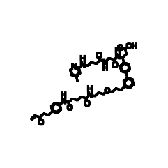 C=CC(=O)CCc1ccc(NC(=O)CCCC(=O)NCCCOCCCc2cccc(-c3ccc(C(CC(=O)O)NC(=O)CNC(=O)CCCNc4cc(C)ccn4)cc3)c2)cc1